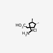 C[C@@H]1CC(CN)(CC(=O)O)C[C@H]1C.Cl